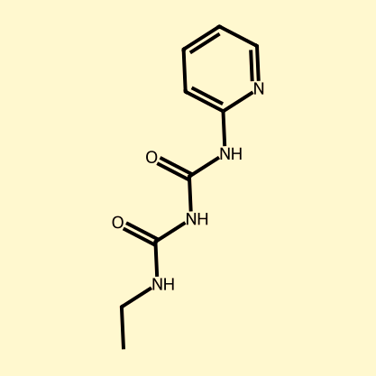 CCNC(=O)NC(=O)Nc1ccccn1